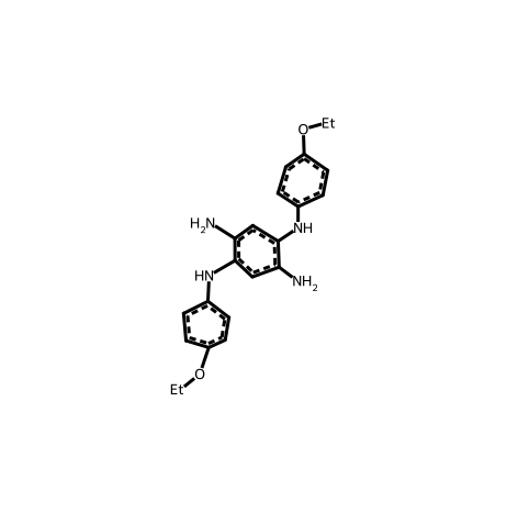 CCOc1ccc(Nc2cc(N)c(Nc3ccc(OCC)cc3)cc2N)cc1